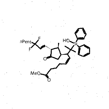 CCCCCC(F)(F)/C=C/[C@H]1C(=O)C[C@H](C(/C=C\CCCC(=O)OC)C(C)(C)[Si](O)(c2ccccc2)c2ccccc2)[C@@H]1C